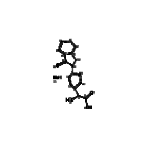 CC(C(=O)O)c1ccc(N2Cc3ccccc3C2=O)cc1.[NaH]